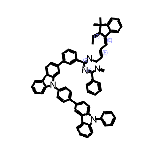 C=N/C(=N\C(=N/C/C=C/C=C1\C(=C/C)C(C)(C)c2ccccc21)c1cccc(-c2ccc3c4ccccc4n(-c4ccc(-c5ccc6c(c5)c5ccccc5n6-c5ccccc5)cc4)c3c2)c1)c1ccccc1